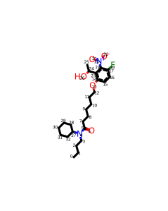 CCCCN(C(=O)CCCCCCOc1ccc(F)c([N+](=O)[O-])c1C(C)O)C1CCCCC1